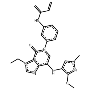 C=CC(=C)Nc1cccc(-n2cc(Nc3cn(C)nc3OC)c3ncn(CC)c3c2=O)c1